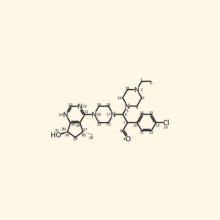 CCN1CCN(C(C(C=O)c2ccc(Cl)cc2)N2CCN(c3ncnc4c3[C@H](C)C[C@H]4O)CC2)CC1